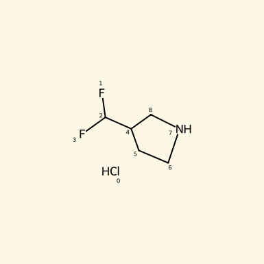 Cl.FC(F)C1CCNC1